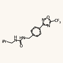 CC(C)CNC(=O)NCc1ccc(-c2noc(C(F)(F)F)n2)cc1